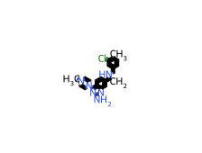 C=C(NCc1ccc(C)c(Cl)c1)c1ccc2c(N3CCN(C)CC3)nc(N)nc2c1